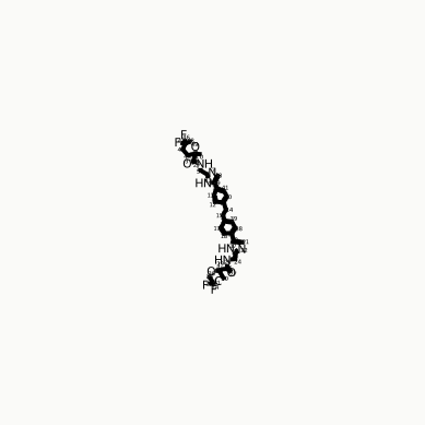 CC1(C(=O)NCc2ncc(-c3ccc(CCc4ccc(-c5cnc(CNC(=O)[C@@]6(C)CCC(F)(F)CO6)[nH]5)cc4)cc3)[nH]2)CCC(F)(F)CO1